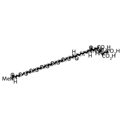 CNC(=O)NCCOCCOCCOCCOCCOCCOCCOCCOCCOCCOCCNC(=O)CCCCCCCNC(=O)CCC(NC(=O)NC(CCC(=O)O)C(=O)O)C(=O)O